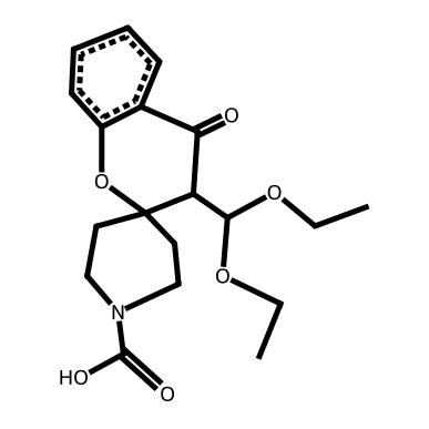 CCOC(OCC)C1C(=O)c2ccccc2OC12CCN(C(=O)O)CC2